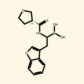 O=C(NC(Cc1coc2ccccc12)B(O)O)[C@@H]1CCOC1